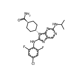 CC(C)Nc1ncc2nc(Nc3c(F)cc(Cl)cc3F)n([C@H]3CC[C@H](C(N)=O)CC3)c2n1